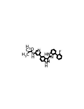 CC(C)C(=O)Nc1cncc(-c2ccc3[nH]nc(-c4nc5c(-c6ccccc6F)cccc5[nH]4)c3c2)c1